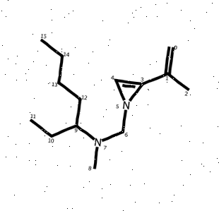 C=C(C)C1=CN1CN(C)C(CC)CCCC